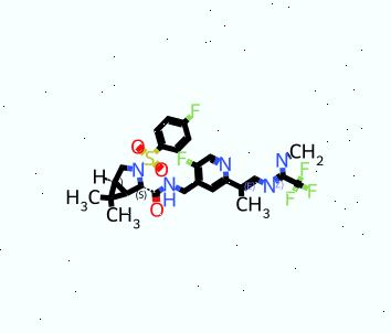 C=N/C(=N\C=C(/C)c1cc(CNC(=O)[C@@H]2C3[C@H](CN2S(=O)(=O)c2ccc(F)cc2)C3(C)C)c(F)cn1)C(F)(F)F